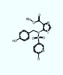 CC(C)(C)OC(=O)c1ncsc1N(Cc1ccc(O)cc1)S(=O)(=O)c1ccc(Cl)nc1